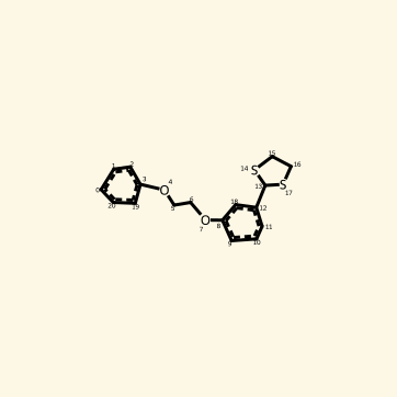 c1ccc(OCCOc2cccc(C3SCCS3)c2)cc1